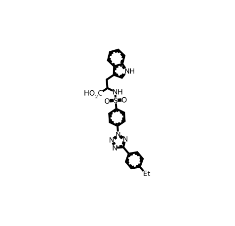 CCc1ccc(-c2nnn(-c3ccc(S(=O)(=O)NC(Cc4c[nH]c5ccccc45)C(=O)O)cc3)n2)cc1